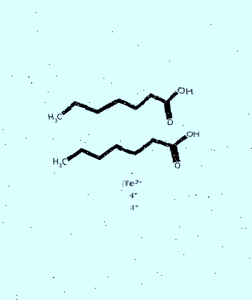 CCCCCCC(=O)O.CCCCCCC(=O)O.[I+].[I+].[Te+2]